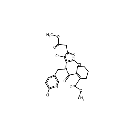 COC(=O)Cc1sc(Cl)c(N(Cc2ccc(Cl)nc2)C(=O)C2=C(C(=O)OC)CCCC2)c1Cl